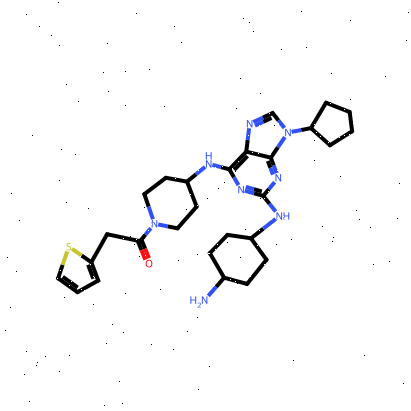 NC1CCC(Nc2nc(NC3CCN(C(=O)Cc4cccs4)CC3)c3ncn(C4CCCC4)c3n2)CC1